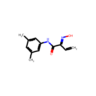 C=CC(=NO)C(=O)Nc1cc(C)cc(C)c1